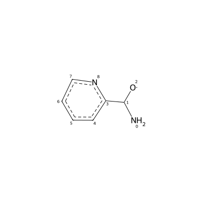 NC([O])c1ccccn1